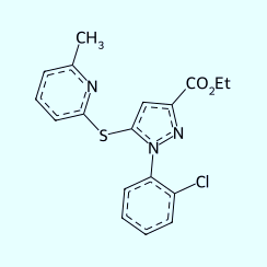 CCOC(=O)c1cc(Sc2cccc(C)n2)n(-c2ccccc2Cl)n1